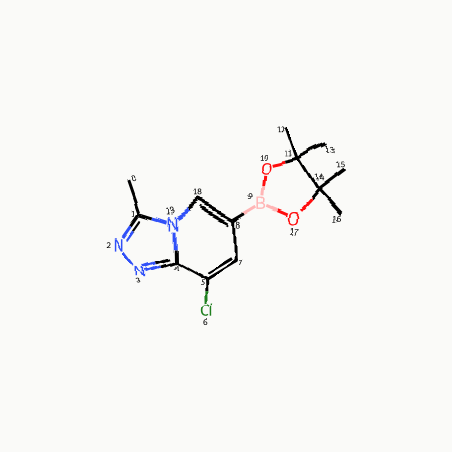 Cc1nnc2c(Cl)cc(B3OC(C)(C)C(C)(C)O3)cn12